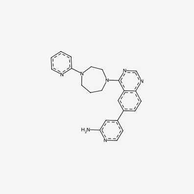 Nc1cc(-c2ccc3ncnc(N4CCCN(c5ccccn5)CC4)c3c2)ccn1